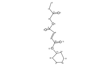 CCC(=O)COC(=O)/C=C/C(=O)OC1CCCCC1